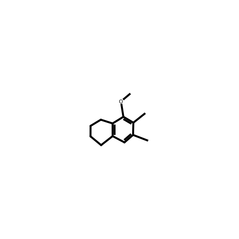 COc1c(C)c(C)cc2c1CCCC2